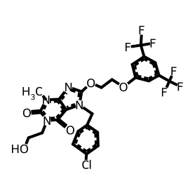 Cn1c(=O)n(CCO)c(=O)c2c1nc(OCCOc1cc(C(F)(F)F)cc(C(F)(F)F)c1)n2Cc1ccc(Cl)cc1